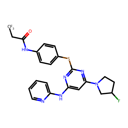 O=C(CC(F)(F)F)Nc1ccc(Sc2nc(Nc3ccccn3)cc(N3CCC(F)C3)n2)cc1